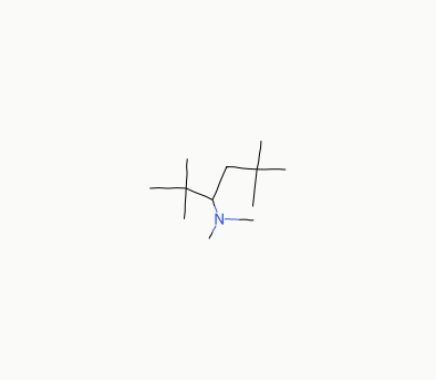 CN(C)C(CC(C)(C)C)C(C)(C)C